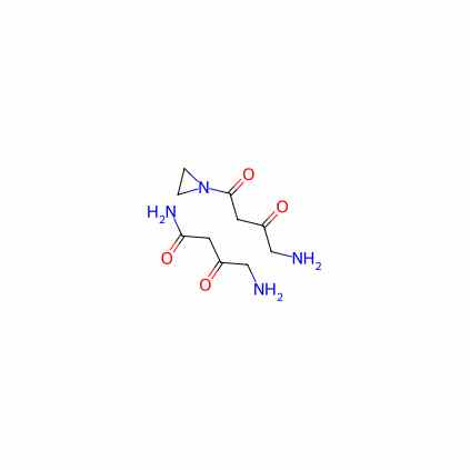 NCC(=O)CC(=O)N1CC1.NCC(=O)CC(N)=O